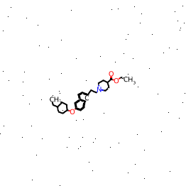 CCOC(=O)C1CCN(CCc2ccc3cc(OC4CCC(CC)CC4)ccc3c2)CC1